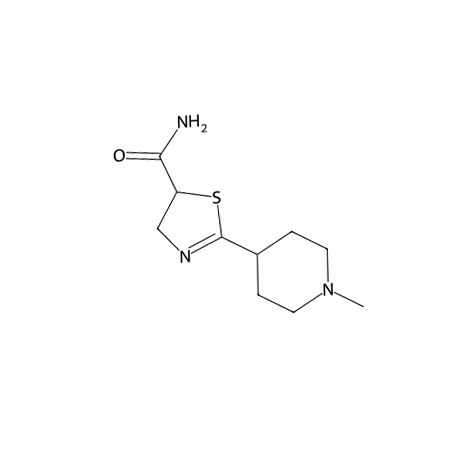 CN1CCC(C2=NCC(C(N)=O)S2)CC1